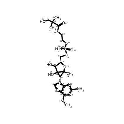 COc1nc(N)nc2c1ncn2[C@@H]1C2(C)O[C@H](COP(N)(=O)OCCSC(=O)C(C)(C)CO)C(O)C12O